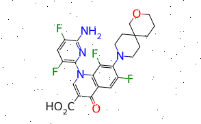 Nc1nc(-n2cc(C(=O)O)c(=O)c3cc(F)c(N4CCC5(CCCOC5)CC4)c(F)c32)c(F)cc1F